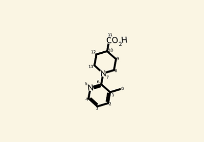 Cc1cccnc1N1CCC(C(=O)O)CC1